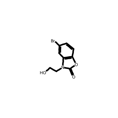 O=c1oc2ccc(Br)cc2n1CCO